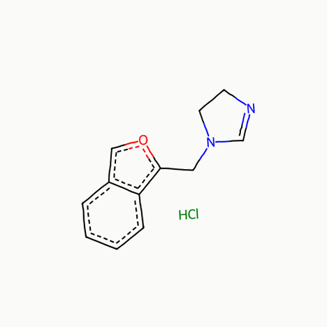 C1=NCCN1Cc1occ2ccccc12.Cl